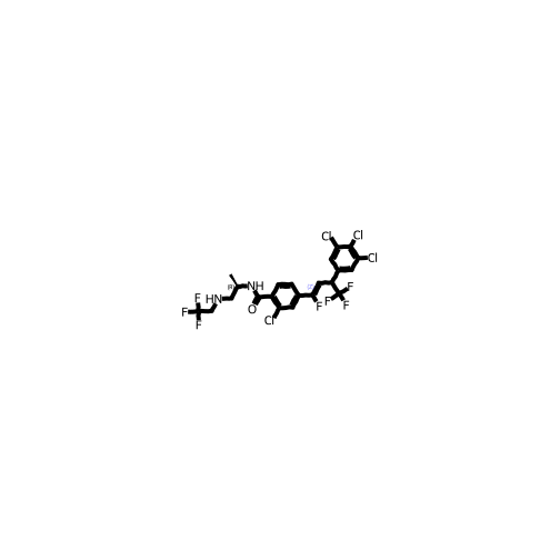 C[C@H](CNCC(F)(F)F)NC(=O)c1ccc(/C(F)=C/C(c2cc(Cl)c(Cl)c(Cl)c2)C(F)(F)F)cc1Cl